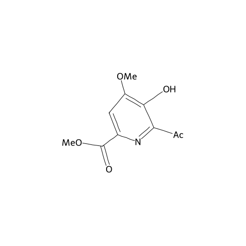 COC(=O)c1cc(OC)c(O)c(C(C)=O)n1